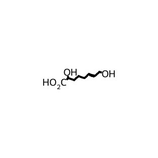 O=C(O)C(O)CCCC=CCO